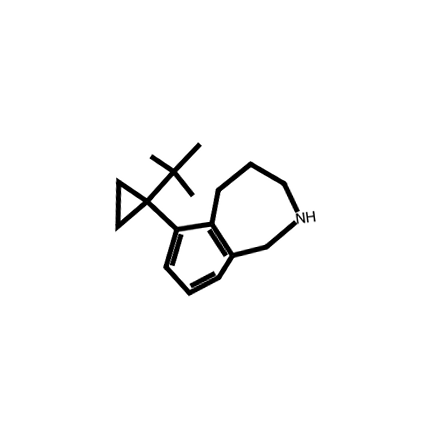 CC(C)(C)C1(c2cccc3c2CCCNC3)CC1